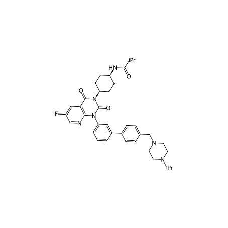 CC(C)C(=O)N[C@H]1CC[C@@H](n2c(=O)c3cc(F)cnc3n(-c3cccc(-c4ccc(CN5CCN(C(C)C)CC5)cc4)c3)c2=O)CC1